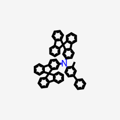 Cc1cc(-c2ccccc2)ccc1N(c1ccc2c(c1)C1(c3ccccc3-c3ccccc31)c1ccccc1-2)c1ccc2c(c1)C1(c3ccccc3-c3ccccc31)c1ccccc1-2